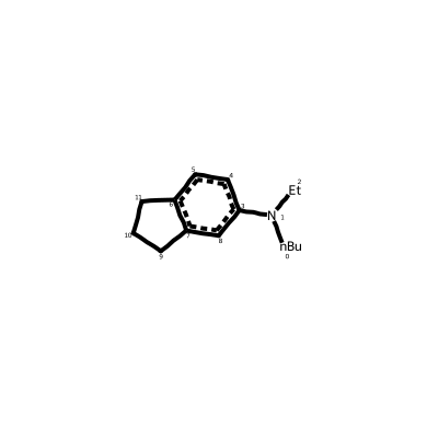 CCCCN(CC)c1ccc2c(c1)CCC2